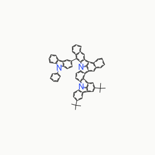 CC(C)(C)c1ccc2c(c1)c1cc(C(C)(C)C)cc3c4c5c6cc7ccccc7c7c8cc9ccccc9c(-c9ccc%10c(c9)c9ccccc9n%10-c9ccccc9)c8n(c5ccc4n2c13)c67